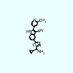 Cc1cc(-c2[nH]c3ccc(-c4nnc([C@@H](N)C5CC5)o4)cc3c2C(C)C)ccn1